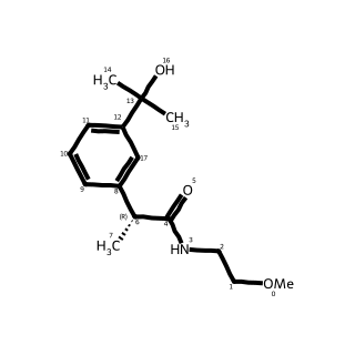 COCCNC(=O)[C@H](C)c1cccc(C(C)(C)O)c1